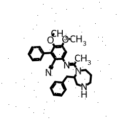 COc1cc(N=C(C)N2CCCNCC2Cc2ccccc2)c(C#N)c(-c2ccccc2)c1OC